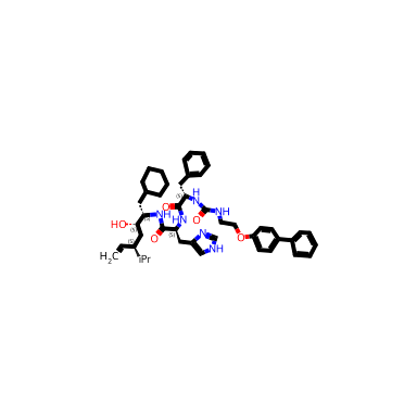 C=C[C@@H](C[C@H](O)[C@H](CC1CCCCC1)NC(=O)[C@H](Cc1c[nH]cn1)NC(=O)[C@H](Cc1ccccc1)NC(=O)NCCOc1ccc(-c2ccccc2)cc1)C(C)C